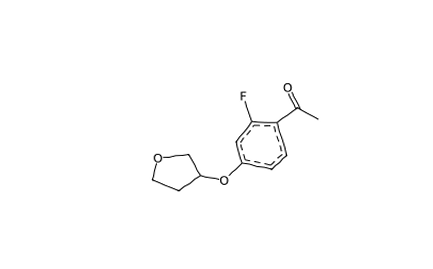 CC(=O)c1ccc(OC2CCOC2)cc1F